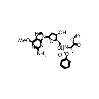 COc1nc(N)nc2c1ncn2C1C[C@H](O)[C@@H](COP(=O)(N[C@@H](C)C(=O)OC(C)C)Oc2ccccc2)O1